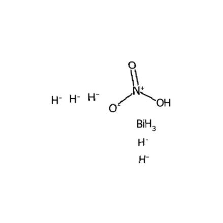 O=[N+]([O-])O.[BiH3].[H-].[H-].[H-].[H-].[H-]